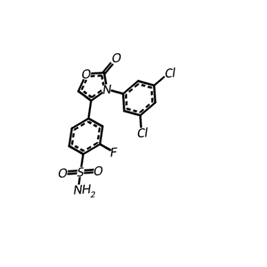 NS(=O)(=O)c1ccc(-c2coc(=O)n2-c2cc(Cl)cc(Cl)c2)cc1F